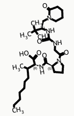 CCCCCCCC(C)[C@@H](NC(=O)[C@@H]1CCCN1C(=O)CNC(=O)N[C@H](CN1CCCCC1=O)C(C)(C)C)C(=O)O